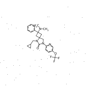 CN(C)C1(c2ccccc2)CC2(CN(c3ccc(OC(F)(F)F)cn3)C(=O)N2CC2CC2)C1